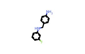 Nc1ccc(CNc2cccc(F)c2)cc1